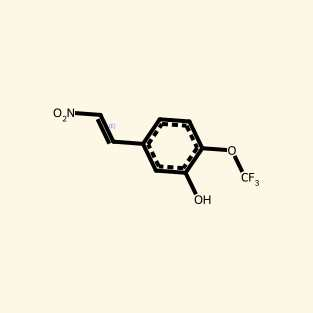 O=[N+]([O-])/C=C/c1ccc(OC(F)(F)F)c(O)c1